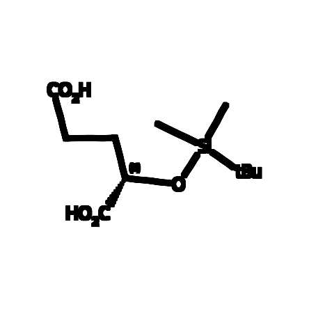 CC(C)(C)[Si](C)(C)O[C@@H](CCC(=O)O)C(=O)O